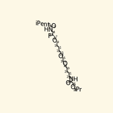 CCCC(C)C(=O)NCC(F)COCCCCCOCCOCCCCCNC(=O)COC(C)C